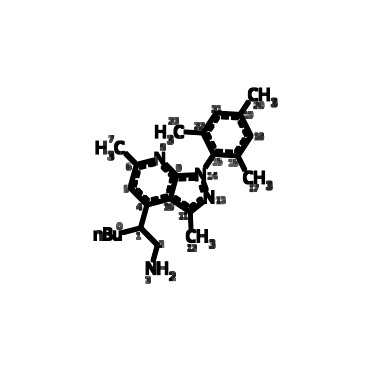 CCCCC(CN)c1cc(C)nc2c1c(C)nn2-c1c(C)cc(C)cc1C